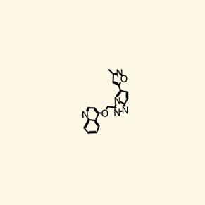 Cc1cc(-c2ccc3nnc(COc4ccnc5ccccc45)n3c2)on1